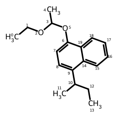 CCOC(C)Oc1ccc(C(C)CC)c2ccccc12